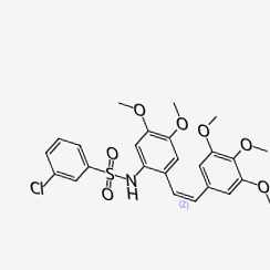 COc1cc(/C=C\c2cc(OC)c(OC)c(OC)c2)c(NS(=O)(=O)c2cccc(Cl)c2)cc1OC